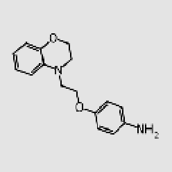 Nc1ccc(OCCN2CCOc3ccccc32)cc1